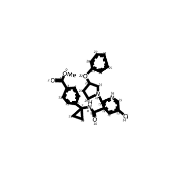 COC(=O)c1ccc(C2(NC(=O)c3cc(Cl)cnc3N3CCC(Oc4ccccc4)C3)CC2)cc1